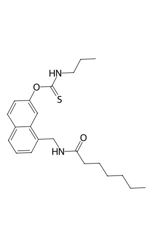 CCCCCCC(=O)NCc1cccc2ccc(OC(=S)NCCC)cc12